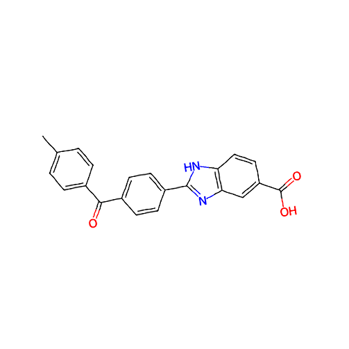 Cc1ccc(C(=O)c2ccc(-c3nc4cc(C(=O)O)ccc4[nH]3)cc2)cc1